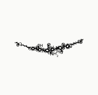 C=CC(=O)OCCCCCCOc1ccc(C(=O)Oc2ccc(N=Nc3ccc(-c4ccc(N=Nc5ccc(OC(=O)c6ccc(OCCCCCCOC(=O)C=C)cc6)c(CO)c5)cc4C(N)=O)c(NC=O)c3)cc2CO)cc1